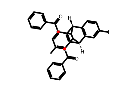 O=C(OC1C(OC(=O)c2ccccc2)[C@H]2c3cc(I)ccc3[C@H]1c1ccc(I)cc12)c1ccccc1